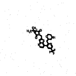 CC1(C)C2C(=O)N(Cc3cc4nccc(-c5cc(C(F)(F)F)cnc5CC5CNCCO5)c4s3)C(=O)C21